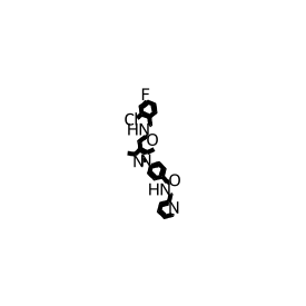 Cc1nn(-c2ccc(C(=O)NCc3ccccn3)cc2)c(C)c1CC(=O)NCc1ccc(F)cc1Cl